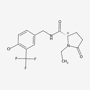 CCN1C(=O)CC[C@H]1C(=O)NCc1ccc(Cl)c(C(F)(F)F)c1